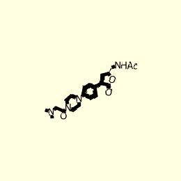 CC(=O)NC[C@H]1C=C(c2ccc(N3CCN(C(=O)CN(C)C)CC3)cc2)C(=O)O1